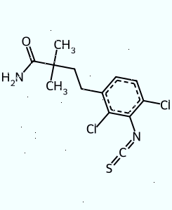 CC(C)(CCc1ccc(Cl)c(N=C=S)c1Cl)C(N)=O